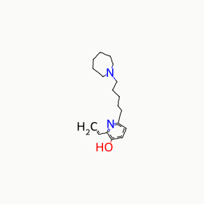 C=Cc1nc(CCCCCN2CCCCCC2)ccc1O